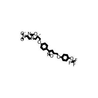 C[C@]1(COc2ccc(-c3cc(COc4ccc(OC(F)(F)F)cc4)on3)cc2)Cn2cc([N+](=O)[O-])nc2O1